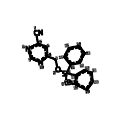 CC(C)(C)[Si](OCc1cc(C#N)ncn1)(c1ccccc1)c1ccccc1